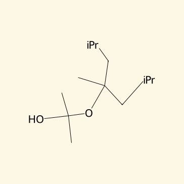 CC(C)CC(C)(CC(C)C)OC(C)(C)O